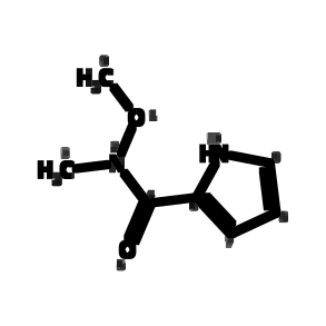 CON(C)C(=O)c1ccc[nH]1